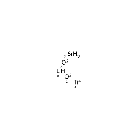 [LiH].[O-2].[O-2].[SrH2].[Ti+4]